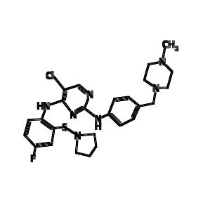 CN1CCN(Cc2ccc(Nc3ncc(Cl)c(Nc4ccc(F)cc4SN4CCCC4)n3)cc2)CC1